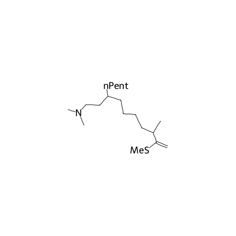 C=C(SC)C(C)CCCCC(CCCCC)CCN(C)C